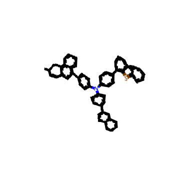 CC1C=Cc2cc(-c3ccc(N(c4ccc(-c5ccc6ccccc6c5)cc4)c4ccc(-c5cccc6c5sc5ccccc56)cc4)cc3)c3ccccc3c2C1